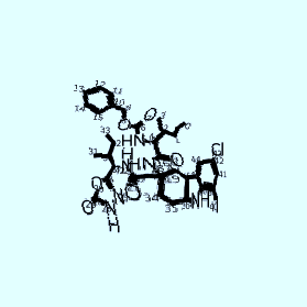 CCC(C)[C@H](NC(=O)OCc1ccccc1)C(=O)N[C@]1(C(=O)N[C@H](c2n[nH]c(=O)o2)C(C)CC)CCc2[nH]c3c(I)cc(Cl)cc3c2C1